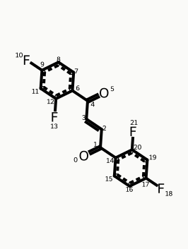 O=C(/C=C/C(=O)c1ccc(F)cc1F)c1ccc(F)cc1F